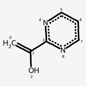 C=C(O)c1ncccn1